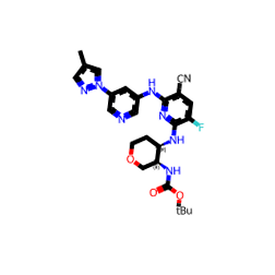 Cc1cnn(-c2cncc(Nc3nc(N[C@@H]4CCOC[C@@H]4NC(=O)OC(C)(C)C)c(F)cc3C#N)c2)c1